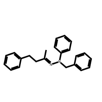 C/C(CCc1ccccc1)=N\N(Cc1ccccc1)c1ccccc1